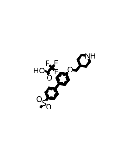 CS(=O)(=O)c1ccc(-c2ccc(OCC3CCNCC3)cc2)cc1.O=C(O)C(F)(F)F